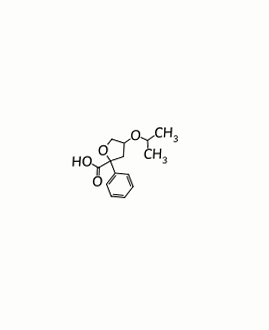 CC(C)OC1COC(C(=O)O)(c2ccccc2)C1